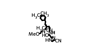 COCCNC(C)(C)C(/C=C\CNC(=O)c1nc(C#N)c[nH]1)=C/CC1=CCC(C)(C)CC1